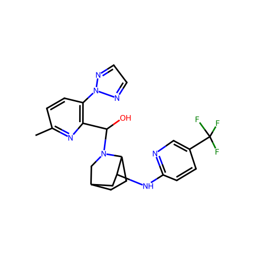 Cc1ccc(-n2nccn2)c(C(O)N2CC3CCC2C(Nc2ccc(C(F)(F)F)cn2)C3)n1